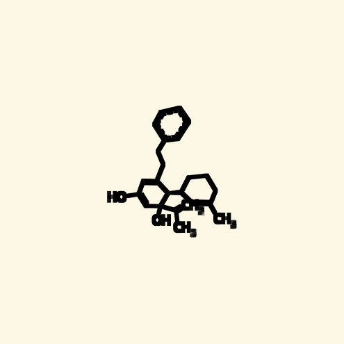 C=C(C)C1(O)C=C(O)C=C(CCc2ccccc2)[C@H]1C1C=C(C)CCC1